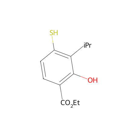 CCOC(=O)c1ccc(S)c(C(C)C)c1O